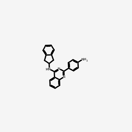 Nc1ccc(-c2nc(NC3Cc4ccccc4C3)c3ccccc3n2)cc1